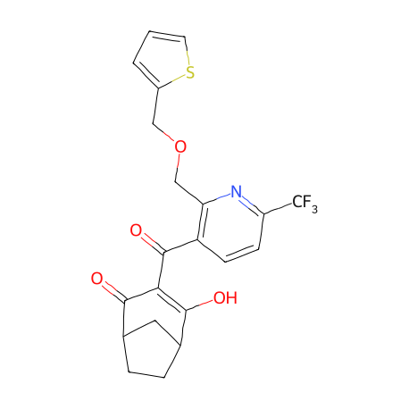 O=C(C1=C(O)C2CCC(C2)C1=O)c1ccc(C(F)(F)F)nc1COCc1cccs1